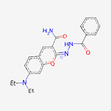 CCN(CC)c1ccc2cc(C(N)=O)/c(=N\NC(=O)c3ccccc3)oc2c1